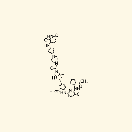 COc1cc(N2C[C@H]3CN(C(=O)CN4CCN(c5ccc(NC6CCC(=O)NC6=O)cc5)CC4)C[C@H]3C2)ccc1Nc1ncc(Cl)c(Nc2ccccc2C(C)=O)n1